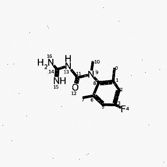 Cc1cc(F)cc(C)c1N(C)C(=O)NC(=N)N